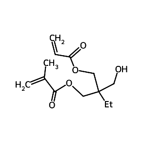 C=CC(=O)OCC(CC)(CO)COC(=O)C(=C)C